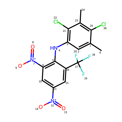 Cc1cc(Nc2c([N+](=O)[O-])cc([N+](=O)[O-])cc2C(F)(F)F)c(Cl)c(C)c1Cl